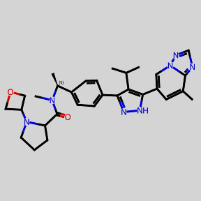 Cc1cc(-c2[nH]nc(-c3ccc([C@H](C)N(C)C(=O)C4CCCN4C4COC4)cc3)c2C(C)C)cn2ncnc12